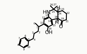 CC(CCCc1ccccc1)c1cc2c(cc1O)[C@H]1C(=O)CCC[C@H]1C(C)(C)N2